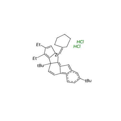 CCC1=CCC(C2(C(C)(C)C)C=CC3=c4ccc(C(C)(C)C)cc4=CC3=[C]2[Zr]=[C]2CCCCC2)=C1CC.Cl.Cl